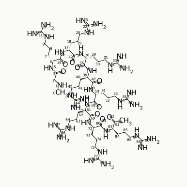 CNCC(=O)N[C@H](CCCNC(=N)N)C(=O)N[C@H](CCCNC(=N)N)C(=O)N[C@H](CCCNC(=N)N)C(=O)N[C@H](CCCNC(=N)N)C(=O)N[C@H](CCCNC(=N)N)C(=O)N[C@H](CCCNC(=N)N)C(=O)N[C@H](CCCNC(=N)N)C(=O)N[C@H](CCCNC(=N)N)C(C)=O